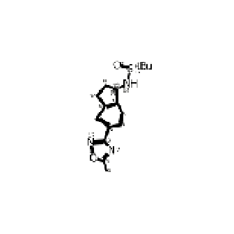 Cc1nc(-c2ccc3c(c2)CC[C@H]3N[S+]([O-])C(C)(C)C)no1